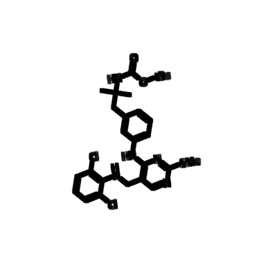 CSc1ncc(CNc2c(Cl)cccc2Cl)c(Nc2cccc(CC(C)(C)NC(=O)OC(C)(C)C)c2)n1